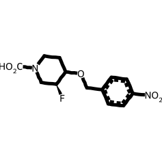 O=C(O)N1CCC(OCc2ccc([N+](=O)[O-])cc2)[C@@H](F)C1